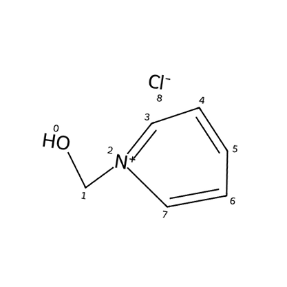 OC[n+]1ccccc1.[Cl-]